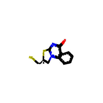 O=c1nc2n(c3ccccc13)C[C@H](CS)S2